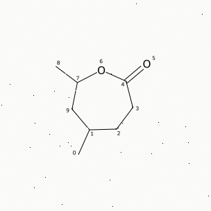 CC1CCC(=O)OC(C)C1